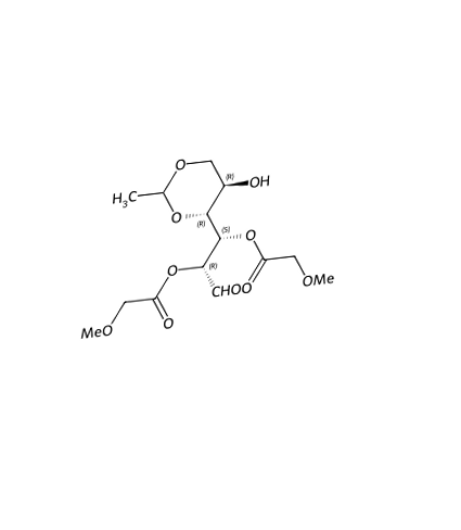 COCC(=O)O[C@@H]([C@@H]1OC(C)OC[C@H]1O)[C@H](C=O)OC(=O)COC